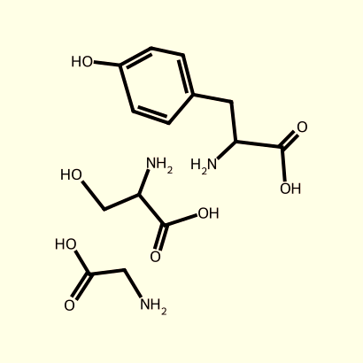 NC(CO)C(=O)O.NC(Cc1ccc(O)cc1)C(=O)O.NCC(=O)O